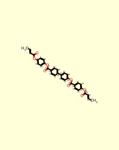 CC=CC(=O)Oc1ccc(OC(=O)c2ccc(-c3ccc(OC(=O)c4ccc(OC(=O)C=CC)cc4)cc3)cc2)cc1